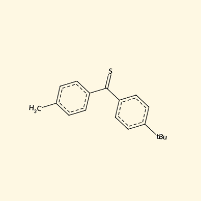 Cc1ccc(C(=S)c2ccc(C(C)(C)C)cc2)cc1